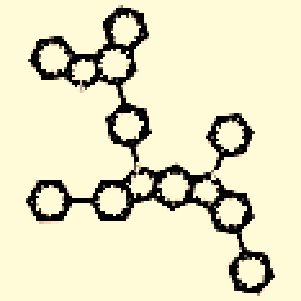 c1ccc(-c2ccc3c(c2)c2cc4c5ccc(-c6ccccc6)cc5n(-c5ccc(-c6cc7ccccc7c7c6sc6ccccc67)cc5)c4cc2n3-c2ccccc2)cc1